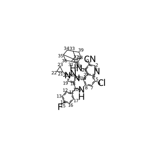 N#Cc1cnc2c(Cl)cc(NC(c3ccc(F)cc3)c3cn(C4CC4)nn3)cc2c1NC1C2CC3CC(C2)CC1C3